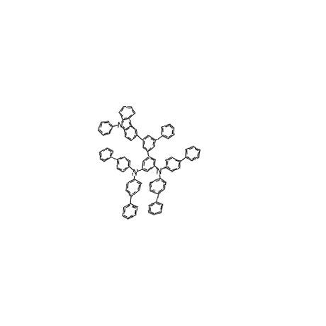 c1ccc(-c2ccc(N(c3ccc(-c4ccccc4)cc3)c3cc(-c4cc(-c5ccccc5)cc(-c5ccc6c(c5)c5ccccc5n6-c5ccccc5)c4)cc(N(c4ccc(-c5ccccc5)cc4)c4ccc(-c5ccccc5)cc4)c3)cc2)cc1